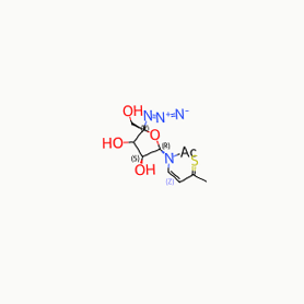 CC(=O)N(/C=C\C(C)=S)[C@@H]1O[C@@](CO)(N=[N+]=[N-])C(O)[C@@H]1O